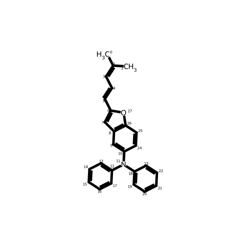 CC(C)=CC=Cc1cc2cc(N(c3ccccc3)c3ccccc3)ccc2o1